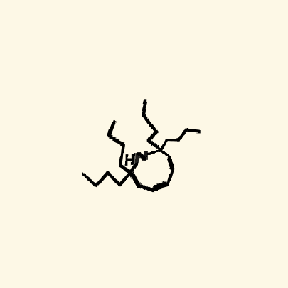 CCCCC1(CCCC)C=CC=CCC(CCCC)(CCCC)N1